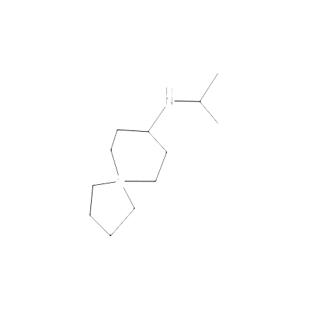 CC(C)NC1CCS2(CCCC2)CC1